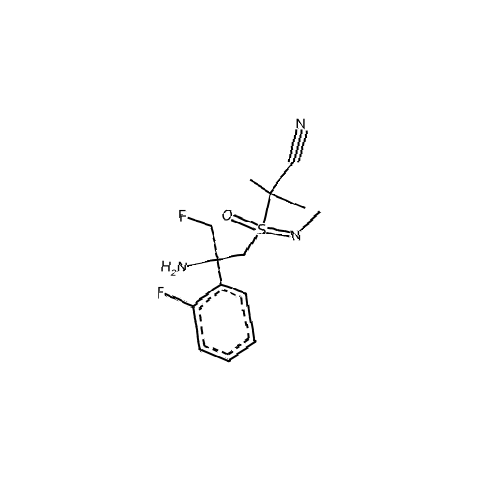 CN=S(=O)(CC(N)(CF)c1ccccc1F)C(C)(C)C#N